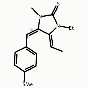 CC=c1/c(=C\c2ccc(SC)cc2)n(C)c(=S)n1CC